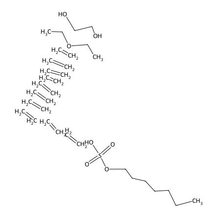 C=C.C=C.C=C.C=C.C=C.C=C.C=C.C=C.C=C.C=C.CCCCCCCOS(=O)(=O)O.CCOCC.OCCO